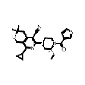 CC[C@@H]1CN(c2nc(C3CC3)c3c(c2C#N)CC(C)(C)OC3)CCN1C(=O)c1ccsc1